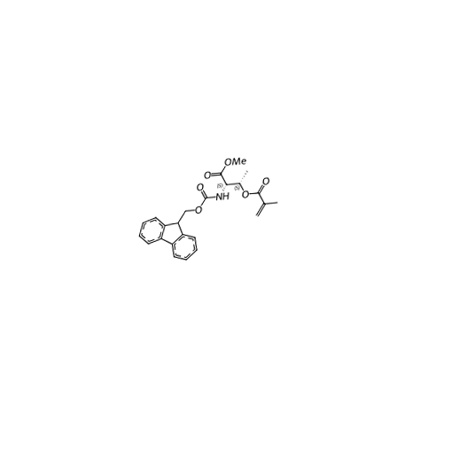 C=C(C)C(=O)O[C@@H](C)[C@H](NC(=O)OCC1c2ccccc2-c2ccccc21)C(=O)OC